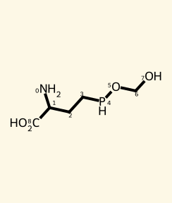 NC(CCPOCO)C(=O)O